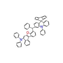 c1ccc(C(c2ccc3c(c2)N(c2ccccc2)c2ccccc2C32c3ccccc3-c3ccccc32)c2cccc3c2oc2cc(N(c4ccccc4)c4ccccc4)c4ccccc4c23)cc1